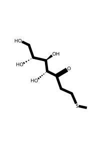 CSCCC(=O)[C@H](O)[C@H](O)[C@H](O)CO